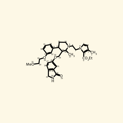 CCOC(=O)c1c(C)ccn1CCN1CCC(c2cccc(OCCOC)c2)C(COc2ccc3c(c2)C(=O)NC3)C1C